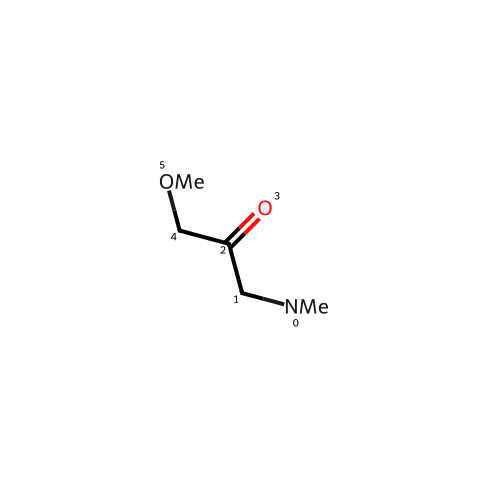 CNCC(=O)COC